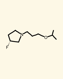 CC(C)OCCCN1CC[C@@H](F)C1